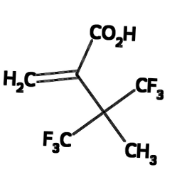 C=C(C(=O)O)C(C)(C(F)(F)F)C(F)(F)F